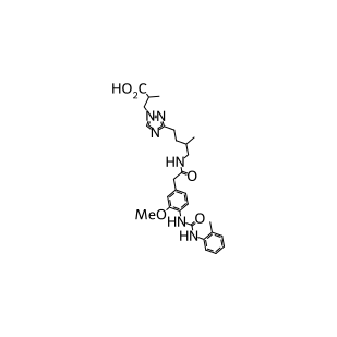 COc1cc(CC(=O)NCC(C)CCc2ncn(CC(C)C(=O)O)n2)ccc1NC(=O)Nc1ccccc1C